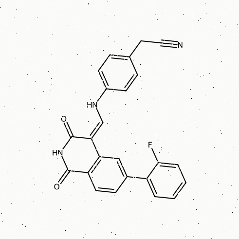 N#CCc1ccc(N/C=C2\C(=O)NC(=O)c3ccc(-c4ccccc4F)cc32)cc1